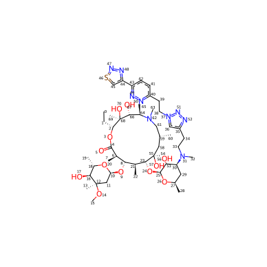 CC[C@H]1OC(=O)[C@H](C)[C@@H](O[C@H]2C[C@@](C)(OC)[C@@H](O)[C@H](C)O2)[C@H](C)[C@@H](O[C@@H]2O[C@H](C)C[C@H](N(C)CCc3cn(CCc4ccc(-c5csnn5)nn4)nn3)[C@H]2O)[C@](C)(O)C[C@@H](C)CN(C)[C@H](C)[C@@H](O)[C@]1(C)O